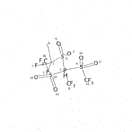 CC(F)(F)S(=O)(=O)[PH](C(F)(F)F)(S(=O)(=O)C(F)(F)F)S(=O)(=O)C(F)(F)F